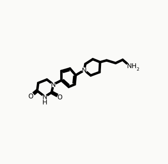 NCCCC1CCN(c2ccc(N3CCC(=O)NC3=O)cc2)CC1